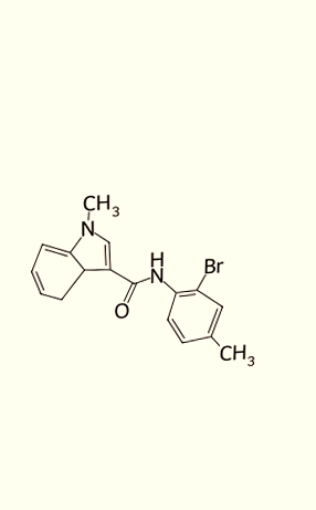 Cc1ccc(NC(=O)C2=CN(C)C3=CC=CCC23)c(Br)c1